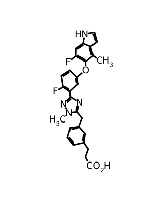 Cc1c(Oc2ccc(F)c(-c3nc(Cc4cccc(CCC(=O)O)c4)n(C)n3)c2)c(F)cc2[nH]ccc12